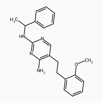 COc1ccccc1CCc1cnc(NC(C)c2ccccc2)nc1N